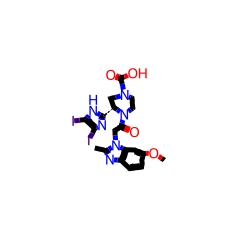 COc1ccc2nc(C)n(CC(=O)N3CCN(C(=O)O)C[C@H]3c3nc(I)c(I)[nH]3)c2c1